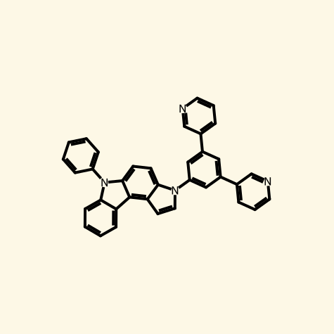 c1ccc(-n2c3ccccc3c3c4ccn(-c5cc(-c6cccnc6)cc(-c6cccnc6)c5)c4ccc32)cc1